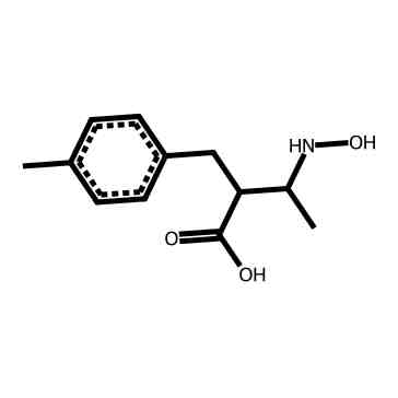 Cc1ccc(CC(C(=O)O)C(C)NO)cc1